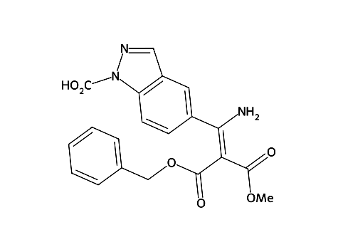 COC(=O)C(C(=O)OCc1ccccc1)=C(N)c1ccc2c(cnn2C(=O)O)c1